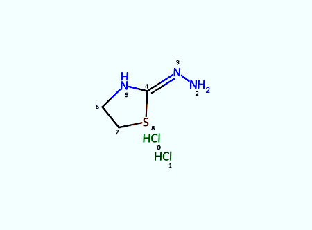 Cl.Cl.NN=C1NCCS1